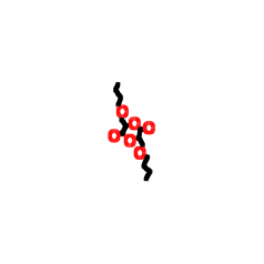 CCCCOCC1OC(=O)C(COCCCC)OC1=O